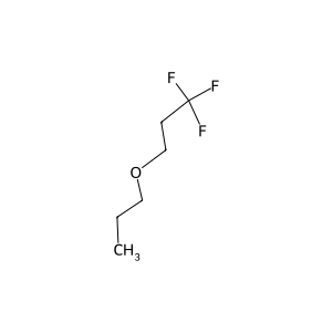 CCCOCCC(F)(F)F